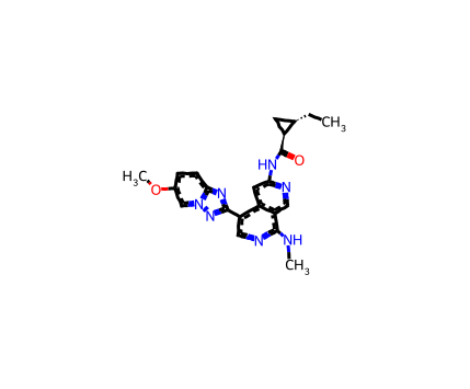 CC[C@H]1C[C@@H]1C(=O)Nc1cc2c(-c3nc4ccc(OC)cn4n3)cnc(NC)c2cn1